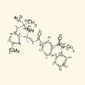 COc1ccc2c(c1)/C(=C/C(=O)c1cccc(C(=O)N(C)c3ccccc3)c1)NC(C)(C)C2